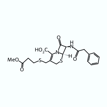 COC(=O)CCSCC1=C(C(=O)O)N2C(=O)[C@@H](NC(=O)Cc3ccccc3)[C@H]2SC1